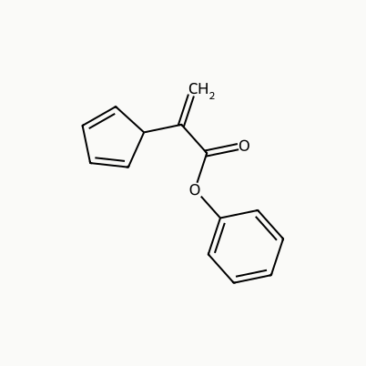 C=C(C(=O)Oc1ccccc1)C1C=CC=C1